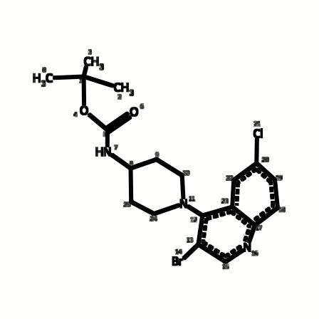 CC(C)(C)OC(=O)NC1CCN(c2c(Br)cnc3ccc(Cl)cc23)CC1